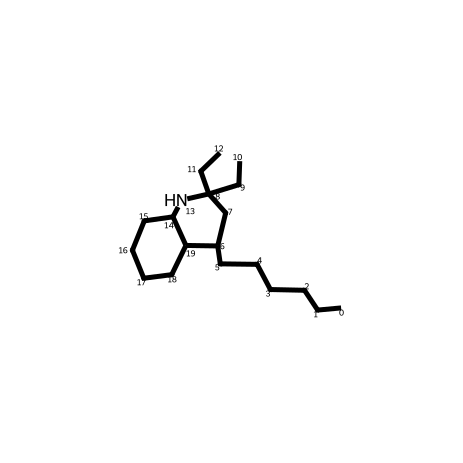 CCCCCCC1CC(CC)(CC)NC2CCCCC12